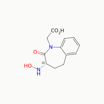 O=C(O)CN1C(=O)[C@@H](NO)CCc2ccccc21